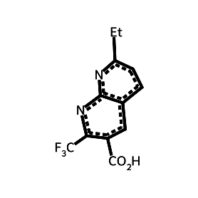 CCc1ccc2cc(C(=O)O)c(C(F)(F)F)nc2n1